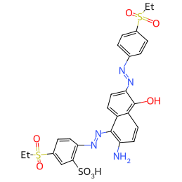 CCS(=O)(=O)c1ccc(/N=N/c2ccc3c(/N=N/c4ccc(S(=O)(=O)CC)cc4S(=O)(=O)O)c(N)ccc3c2O)cc1